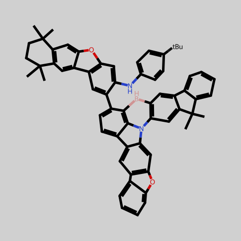 CC(C)(C)c1ccc(Nc2cc3oc4cc5c(cc4c3cc2-c2ccc3c4cc6c(cc4n4c3c2Bc2cc3c(cc2-4)C(C)(C)c2ccccc2-3)oc2ccccc26)C(C)(C)CCC5(C)C)cc1